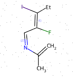 C=C(C)/N=C\C(F)=C(/I)CC